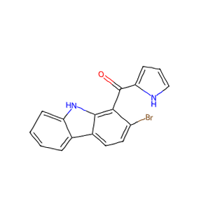 O=C(c1ccc[nH]1)c1c(Br)ccc2c1[nH]c1ccccc12